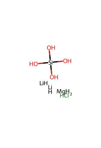 Cl.O[Si](O)(O)O.[LiH].[LiH].[MgH2]